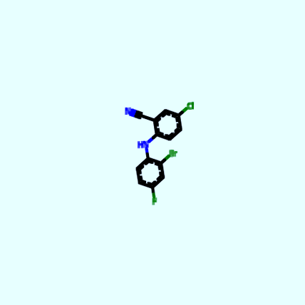 N#Cc1cc(Cl)ccc1Nc1ccc(F)cc1Br